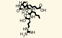 CCCCC(NC(=O)[C@@]1(CCCCC(=O)O)SC[C@@H]2NC(=O)N[C@@H]21)C(=O)N[C@@H](CCCNC(=N)N)C(=O)O